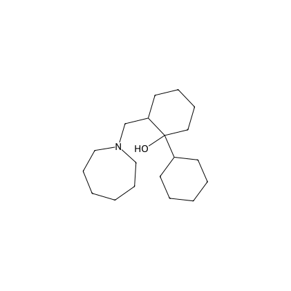 OC1(C2CCCCC2)CCCCC1CN1CCCCCC1